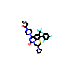 C=CC(=O)N1CCN(c2nc(=O)n3c4c(c(-c5ccc(F)cc5F)c(C(F)(F)F)cc24)SCC(N2CCCC2)C3)CC1